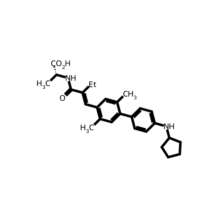 CC/C(=C\c1cc(C)c(-c2ccc(NC3CCCC3)cc2)cc1C)C(=O)N[C@H](C)C(=O)O